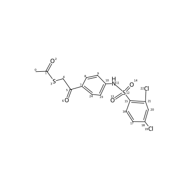 CC(=O)SCC(=O)c1ccc(NS(=O)(=O)c2ccc(Cl)cc2Cl)cc1